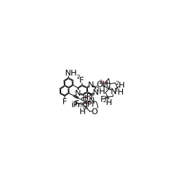 [2H]C1([2H])CC2(CC2)[C@@]2(C([2H])([2H])Oc3nc(N4CCOC[C@H]5[C@H](F)[C@H]54)c4cnc(-c5cc(N)cc6ccc(F)c(C#C[Si](C(C)C)(C(C)C)C(C)C)c56)c(F)c4n3)C[C@@]([2H])(F)CN12